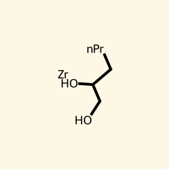 CCCCC(O)CO.[Zr]